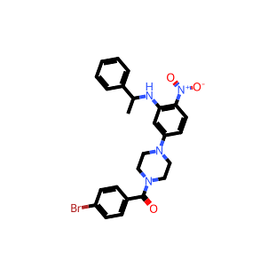 CC(Nc1cc(N2CCN(C(=O)c3ccc(Br)cc3)CC2)ccc1[N+](=O)[O-])c1ccccc1